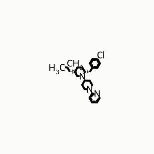 CC(C)C[C@@H]1CC[C@H](Cc2ccc(Cl)cc2)N(C2CCN(c3ccccn3)CC2)C1